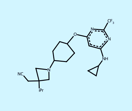 CC(C)C1(CC#N)CN(C2CCC(Oc3cc(NC4CC4)nc(C(F)(F)F)n3)CC2)C1